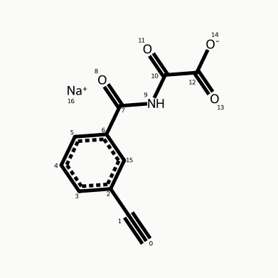 C#Cc1cccc(C(=O)NC(=O)C(=O)[O-])c1.[Na+]